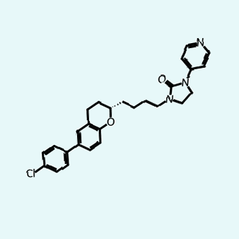 O=C1N(CCCC[C@H]2CCc3cc(-c4ccc(Cl)cc4)ccc3O2)CCN1c1ccncc1